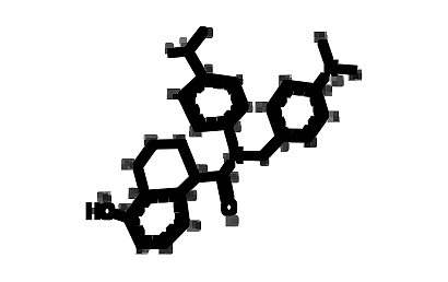 CC(C)c1ccc(N(Cc2ccc(N(C)C)cc2)C(=O)C2CCCc3c(O)cccc32)cc1